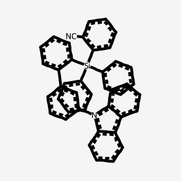 N#Cc1ccccc1[Si](c1ccccc1)(c1ccccc1)c1ccccc1-c1cccc(-n2c3ccccc3c3ccccc32)c1